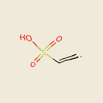 [CH]=CS(=O)(=O)O